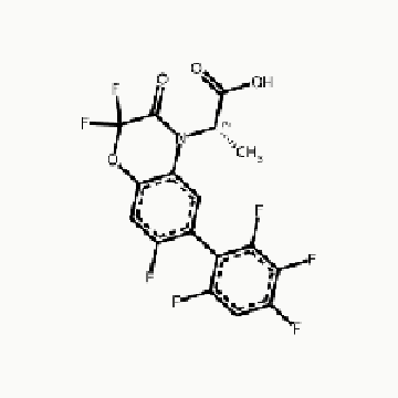 C[C@@H](C(=O)O)N1C(=O)C(F)(F)Oc2cc(F)c(-c3c(F)cc(F)c(F)c3F)cc21